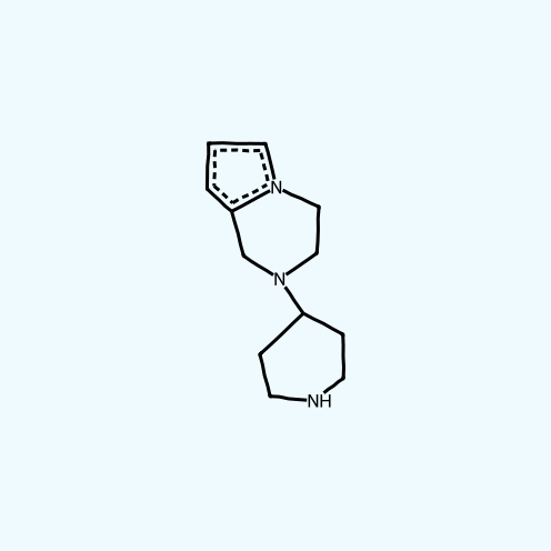 c1cc2n(c1)CCN(C1CCNCC1)C2